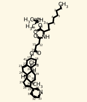 CCCCCCCCC(NC(=O)CCC(=O)O[C@H]1CC[C@@]2(C)C(=CC[C@H]3C4CC=C(c5cccnc5)[C@@]4(C)CC[C@@H]32)C1)C(=O)OC(C)(C)C